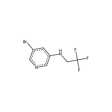 FC(F)(F)CNc1cncc(Br)c1